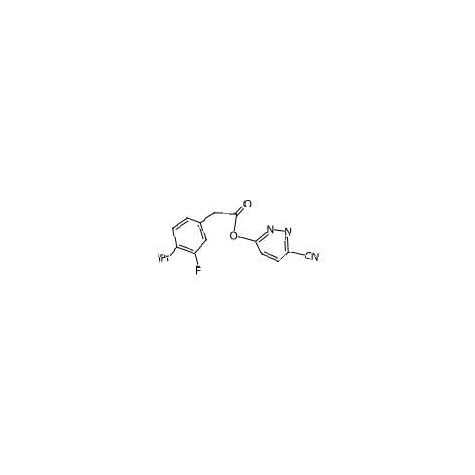 CC(C)c1ccc(CC(=O)Oc2ccc(C#N)nn2)cc1F